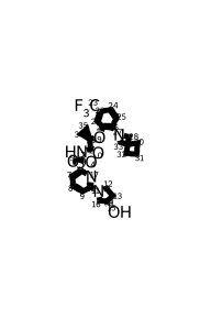 O=C(NS(=O)(=O)c1cccc(N2CC[C@H](O)C2)n1)C1(Oc2cc(C(F)(F)F)ccc2N2CC3(CCC3)C2)CC1